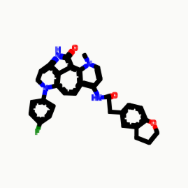 CN1C=CC(NC(=O)Cc2ccc3c(c2)CCCO3)=c2ccc3c4c([nH]c(=O)c-4c21)=CCN3c1ccc(F)cc1